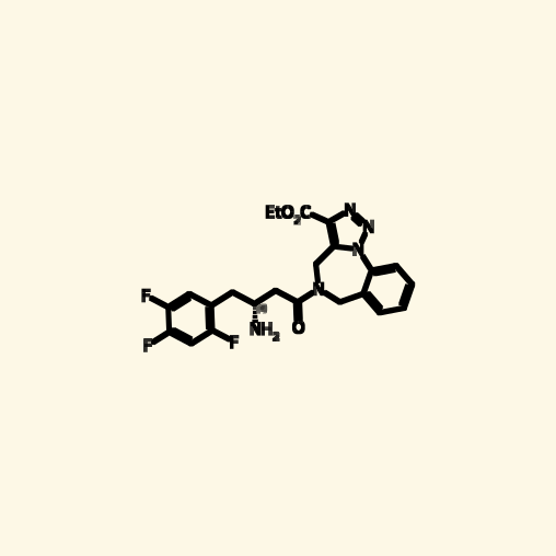 CCOC(=O)c1nnn2c1CN(C(=O)C[C@H](N)Cc1cc(F)c(F)cc1F)Cc1ccccc1-2